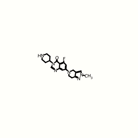 Cn1cc2c(n1)CCN(c1cc(F)c3c(=O)n(C4CCNCC4)cnc3c1)C2